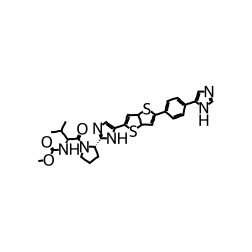 COC(=O)N[C@H](C(=O)N1CCC[C@H]1c1ncc(C2=CC3SC(c4ccc(-c5cnc[nH]5)cc4)=CC3S2)[nH]1)C(C)C